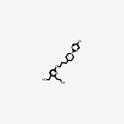 CCc1cnc(N2CCC(CCCOc3ccc(CO)c(CCO)n3)CC2)nc1